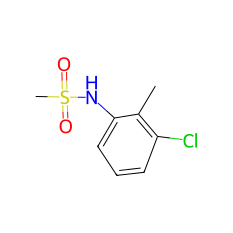 Cc1c(Cl)cccc1NS(C)(=O)=O